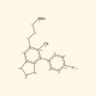 CNCCCc1cc2c(c(-c3ccc(F)cc3)c1C#N)COC2